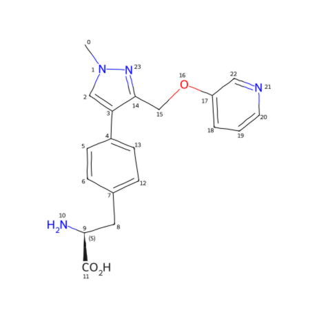 Cn1cc(-c2ccc(C[C@H](N)C(=O)O)cc2)c(COc2cccnc2)n1